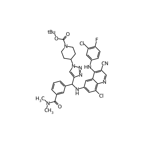 CN(C)C(=O)c1cccc(C(Nc2cc(Cl)c3ncc(C#N)c(Nc4ccc(F)c(Cl)c4)c3c2)c2cn(C3CCN(C(=O)OC(C)(C)C)CC3)nn2)c1